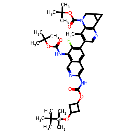 Cc1c(-c2cc3cc(NC(=O)OC4CC(O[Si](C)(C)C(C)(C)C)C4)ncc3c(NC(=O)OC(C)(C)C)c2F)cnc2c1N(C(=O)OC(C)(C)C)CC1CC21